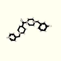 O=C(C1CCN(Cc2ccncc2)CC1)N1CCN(Cc2cccc(F)c2)CC1